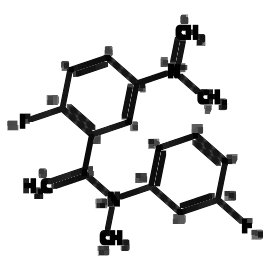 C=C(c1cc([N+](=C)C)ccc1F)N(C)c1cccc(F)c1